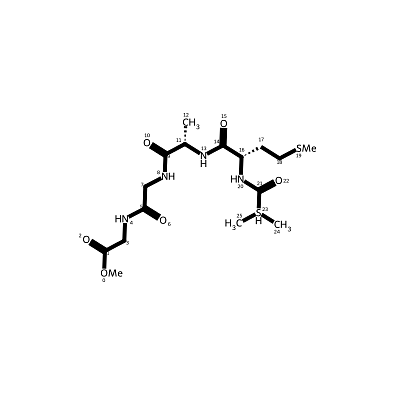 COC(=O)CNC(=O)CNC(=O)[C@H](C)NC(=O)[C@H](CCSC)NC(=O)[SH](C)C